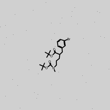 CN(CCCC(Cc1cccc(Br)c1)C(=O)OC(C)(C)C)C(=O)OC(C)(C)C